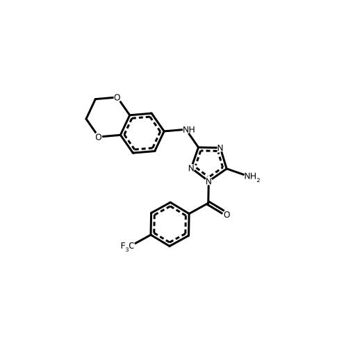 Nc1nc(Nc2ccc3c(c2)OCCO3)nn1C(=O)c1ccc(C(F)(F)F)cc1